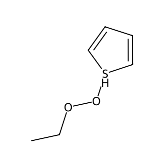 CCOO[SH]1C=CC=C1